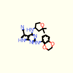 CC1(C)CC(Nc2nc(Nc3cccc4c3OCCO4)nc3[nH]cc(C#N)c23)CCO1